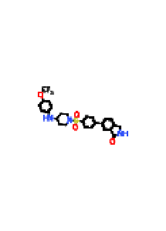 O=C1NCc2ccc(-c3ccc(S(=O)(=O)N4CCC(Nc5ccc(OC(F)(F)F)cc5)CC4)cc3)cc21